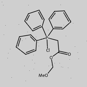 COCOC(=O)CP(Cl)(c1ccccc1)(c1ccccc1)c1ccccc1